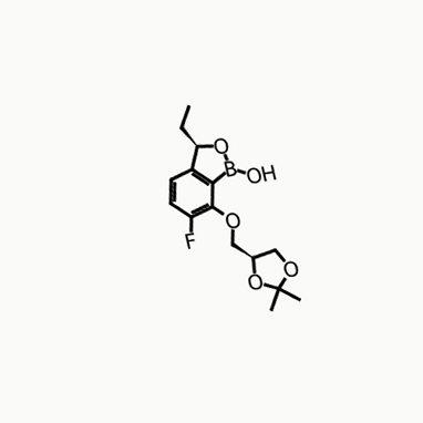 CC[C@H]1OB(O)c2c1ccc(F)c2OC[C@H]1COC(C)(C)O1